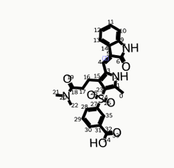 Cc1[nH]c(/C=C2\C(=O)Nc3ccccc32)c(CCC(=O)N(C)C)c1S(=O)(=O)c1cccc(C(=O)O)c1